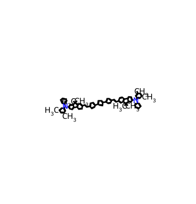 Cc1cc(C)cc(N(c2ccccc2)c2ccc3c(c2)C(C)(C)c2cc(/C=C/c4ccc(-c5ccc(-c6ccc(/C=C/c7ccc8c(c7)C(C)(C)c7cc(N(c9ccccc9)c9cc(C)cc(C)c9)ccc7-8)cc6)cc5)cc4)ccc2-3)c1